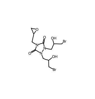 O=c1n(CC2CO2)c(=O)n(CC(O)CBr)n1CC(O)CBr